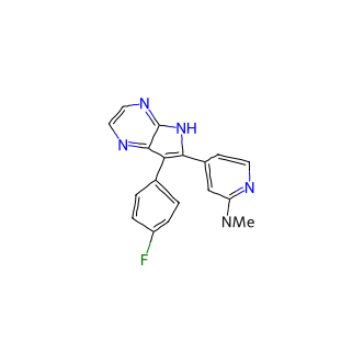 CNc1cc(-c2[nH]c3nccnc3c2-c2ccc(F)cc2)ccn1